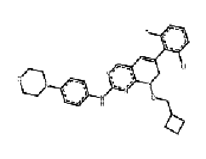 Fc1cccc(Cl)c1C1=Cc2cnc(Nc3ccc(N4CCOCC4)cc3)nc2N(OCC2CCC2)C1